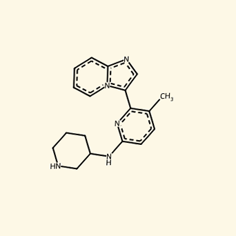 Cc1ccc(NC2CCCNC2)nc1-c1cnc2ccccn12